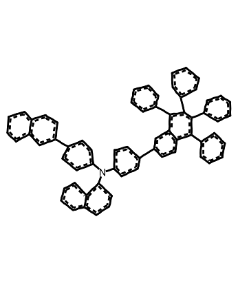 c1ccc(-c2c(-c3ccccc3)c(-c3ccccc3)c3cc(-c4ccc(N(c5ccc(-c6ccc7ccccc7c6)cc5)c5cccc6ccccc56)cc4)ccc3c2-c2ccccc2)cc1